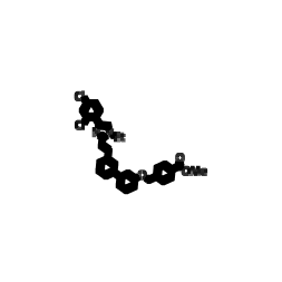 CCn1cc(-c2ccc(Cl)cc2Cl)nc1/C=C/c1cccc(-c2cccc(OCc3ccc(C(=O)OC)cc3)c2)c1